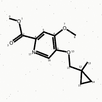 COC(=O)c1cc(OC)c(OCC2(C)CC2)cn1